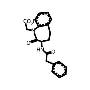 O=C(O)CN1C(=O)C(NC(=O)Cc2ccccc2)CCc2ccccc21